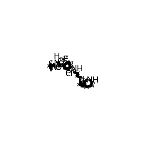 O=S(=O)(Nc1nccs1)c1cc(Cl)c(NCCCCN2CCC23CCCNC3)cc1F